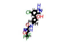 O=C(NC1[C@H]2CC(O)(c3cc(Cl)cc4[nH]ncc34)C[C@@H]12)c1cc(C(F)(F)F)on1